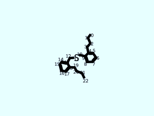 CCCCc1ccccc1CSCc1ccccc1CCCC